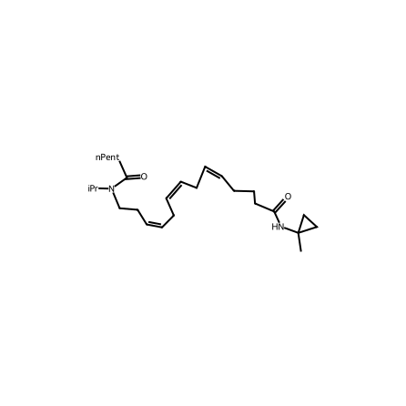 CCCCCC(=O)N(CC/C=C\C/C=C\C/C=C\CCCC(=O)NC1(C)CC1)C(C)C